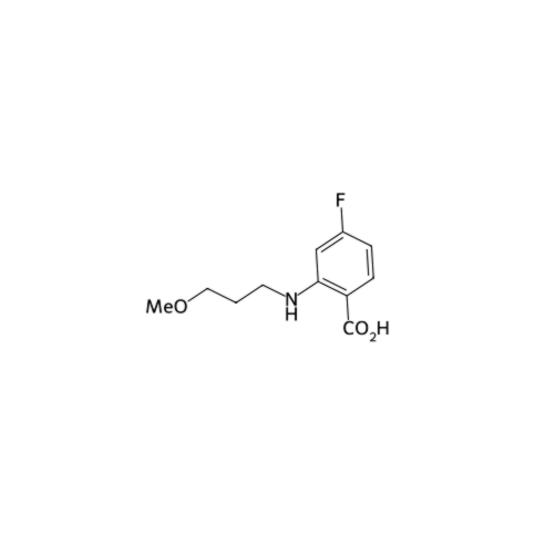 COCCCNc1cc(F)ccc1C(=O)O